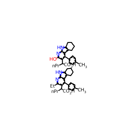 CCCC(C(=O)O)c1c(CC)nc2[nH]c3c(c2c1-c1ccc(C)cc1)CCCC3.CCCC(C(=O)O)c1c(O)nc2[nH]c3c(c2c1-c1ccc(C)cc1)CCCC3